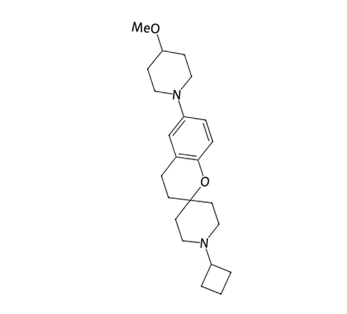 COC1CCN(c2ccc3c(c2)CCC2(CCN(C4CCC4)CC2)O3)CC1